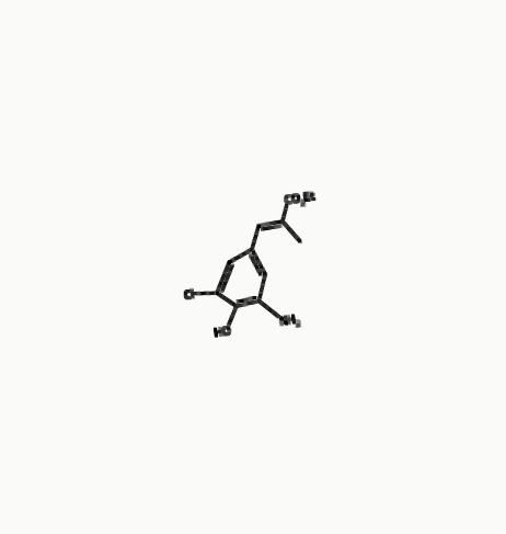 CCOC(=O)C(C)=Cc1cc(N)c(O)c(Cl)c1